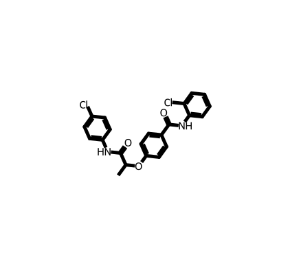 CC(Oc1ccc(C(=O)Nc2ccccc2Cl)cc1)C(=O)Nc1ccc(Cl)cc1